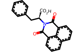 O=C(O)[C@H](Cc1ccccc1)N1C(=O)c2cccc3cccc(c23)C1=O